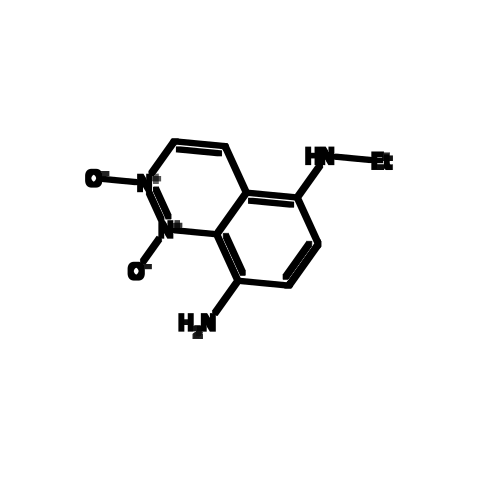 CCNc1ccc(N)c2c1cc[n+]([O-])[n+]2[O-]